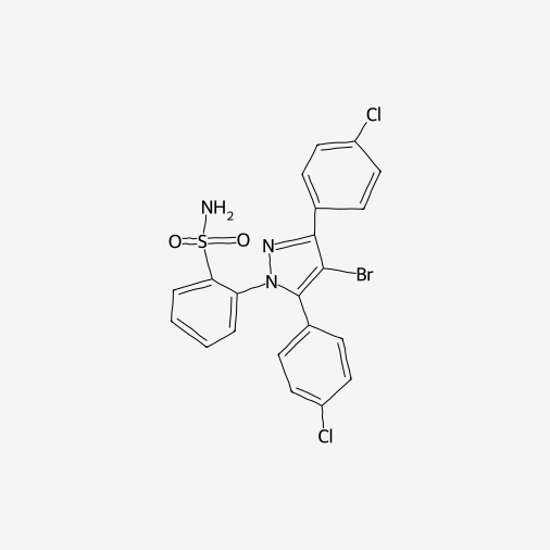 NS(=O)(=O)c1ccccc1-n1nc(-c2ccc(Cl)cc2)c(Br)c1-c1ccc(Cl)cc1